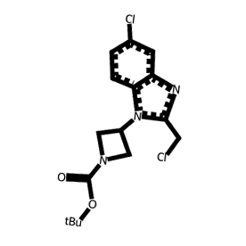 CC(C)(C)OC(=O)N1CC(n2c(CCl)nc3cc(Cl)ccc32)C1